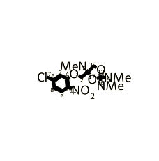 CNC1(COc2cc(Cl)ccc2[N+](=O)[O-])COC(NC)(NC)O1